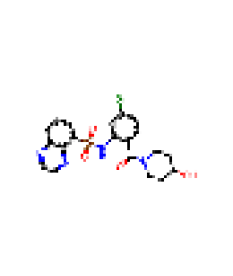 O=C(c1ccc(Br)cc1NS(=O)(=O)c1cccc2nccnc12)N1CCC(O)CC1